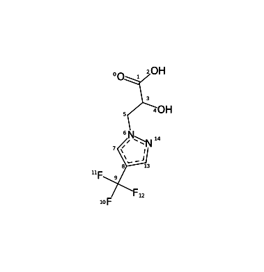 O=C(O)C(O)Cn1cc(C(F)(F)F)cn1